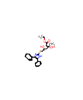 CCOC(=O)C[C@@](C)(O)C[C@H](O)CSc1nc(-c2ccccc2)c(-c2ccccc2)[nH]1